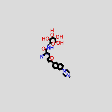 CN1CCN(c2ccc3cc(-c4ccc(/C=C(\C#N)C(=O)NC[C@H]5OC(O)[C@H](O)[C@@H](O)[C@@H]5O)o4)ccc3c2)CC1